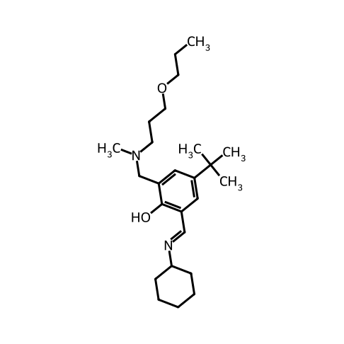 CCCOCCCN(C)Cc1cc(C(C)(C)C)cc(/C=N/C2CCCCC2)c1O